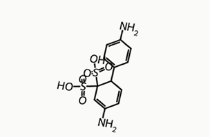 NC1=CC(S(=O)(=O)O)(S(=O)(=O)O)C(c2ccc(N)cc2)C=C1